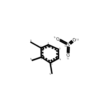 Cc1cccc(C)c1C.O=S(=O)=O